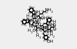 CC(C)[C@H](NC(=O)[C@@H](Cc1c[nH]c2ccccc12)NC(=O)[C@H](Cc1ccc(O)cc1)NC(=O)[C@@H](N)CC(=O)O)C(=O)N[C@H](Cc1c[nH]c2ccccc12)C(=O)N[C@H](Cc1c[nH]c2ccccc12)C(=O)N[C@@H](CCCCN)C(=O)O